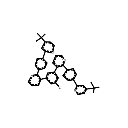 CC(C)(C)c1ccnc(-c2ccc(-c3ncccc3-c3cc(Cl)cc(-c4cccnc4-c4ccc(-c5cc(C(C)(C)C)ccn5)cc4)c3)cc2)c1